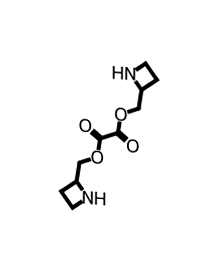 O=C(OCC1CCN1)C(=O)OCC1CCN1